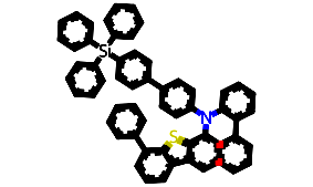 c1ccc(-c2ccccc2N(c2ccc(-c3ccc([Si](c4ccccc4)(c4ccccc4)c4ccccc4)cc3)cc2)c2cccc3c2sc2c(-c4ccccc4)cccc23)cc1